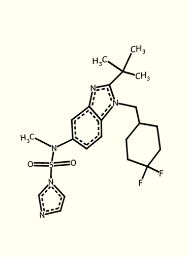 CN(c1ccc2c(c1)nc(C(C)(C)C)n2CC1CCC(F)(F)CC1)S(=O)(=O)n1ccnc1